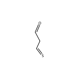 O=CCC=S